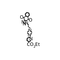 CCOC(=O)c1ccc(N2CCN(CCCn3nnc4c3C(=O)c3ccccc3C4=O)CC2)nc1